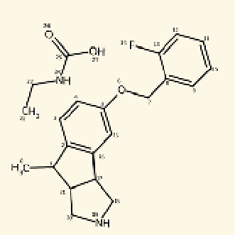 CC1c2ccc(OCc3ccccc3F)cc2C2CNCC12.CCNC(=O)O